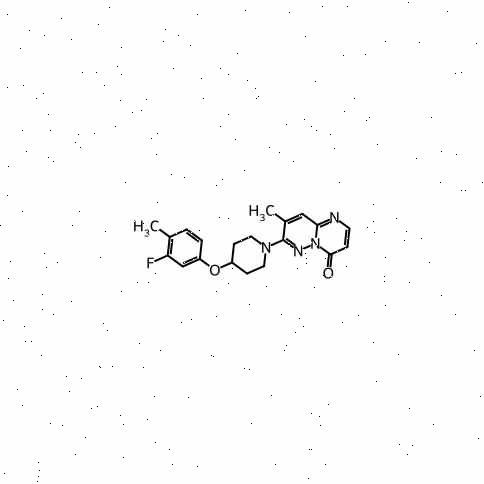 Cc1ccc(OC2CCN(c3nn4c(=O)ccnc4cc3C)CC2)cc1F